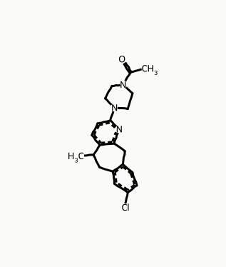 CC(=O)N1CCN(c2ccc3c(n2)Cc2ccc(Cl)cc2CC3C)CC1